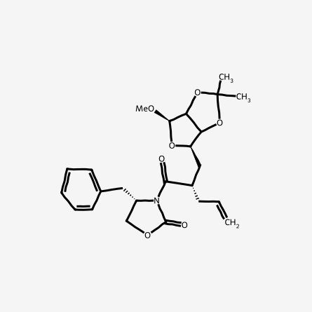 C=CC[C@@H](C[C@H]1O[C@@H](OC)C2OC(C)(C)OC21)C(=O)N1C(=O)OC[C@@H]1Cc1ccccc1